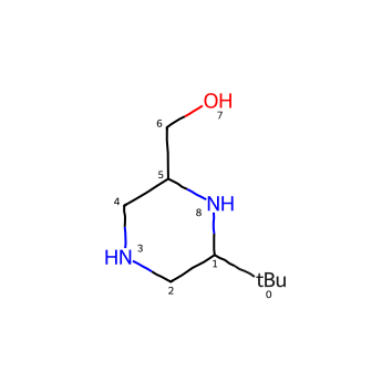 CC(C)(C)C1CNCC(CO)N1